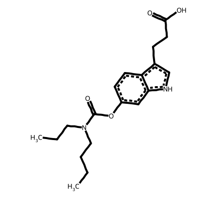 CCCCN(CCC)C(=O)Oc1ccc2c(CCC(=O)O)c[nH]c2c1